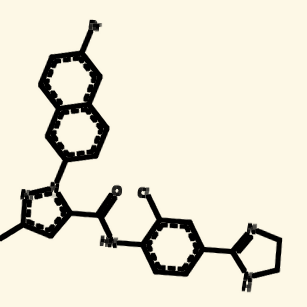 Cc1cc(C(=O)Nc2ccc(C3=NCCN3)cc2Cl)n(-c2ccc3cc(Br)ccc3c2)n1